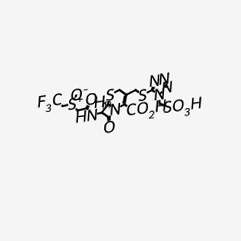 O=C(C[S+]([O-])CC(F)(F)F)NC1C(=O)N2C(C(=O)O)=C(CSc3nnnn3CS(=O)(=O)O)CS[C@H]12